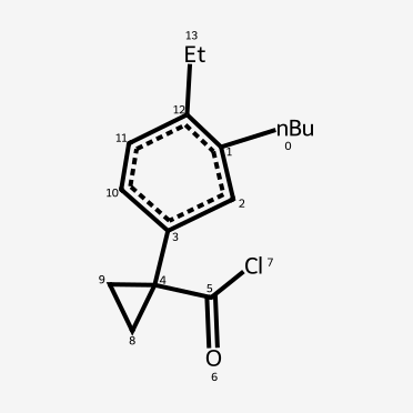 CCCCc1cc(C2(C(=O)Cl)CC2)ccc1CC